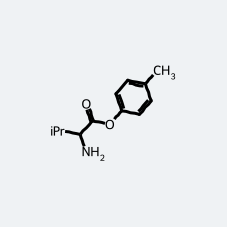 Cc1ccc(OC(=O)C(N)C(C)C)cc1